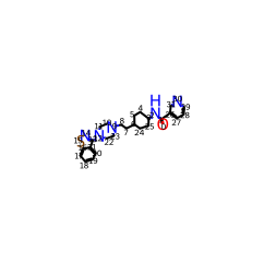 O=C(NC1CCC(CCN2CCN(c3nsc4ccccc34)CC2)CC1)c1cccnc1